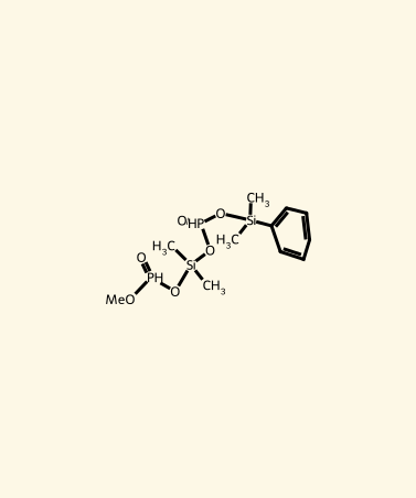 CO[PH](=O)O[Si](C)(C)O[PH](=O)O[Si](C)(C)c1ccccc1